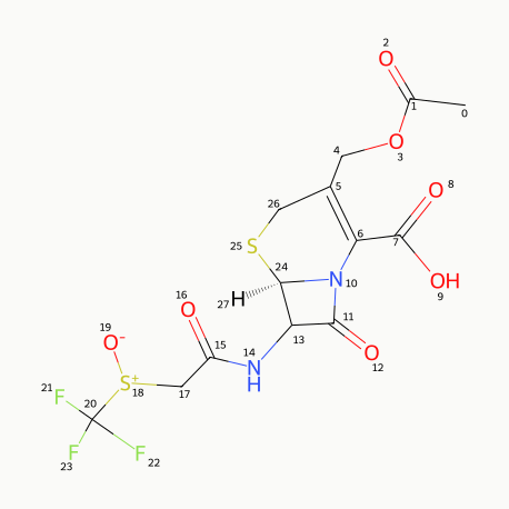 CC(=O)OCC1=C(C(=O)O)N2C(=O)C(NC(=O)C[S+]([O-])C(F)(F)F)[C@H]2SC1